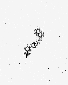 FC(F)(F)c1cccc(C2=CCN(CCCc3ccc4ccccc4c3)CC2)c1